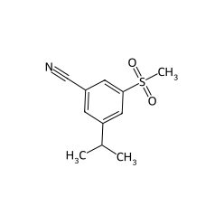 CC(C)c1cc(C#N)cc(S(C)(=O)=O)c1